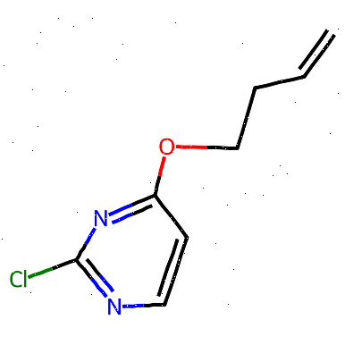 C=CCCOc1ccnc(Cl)n1